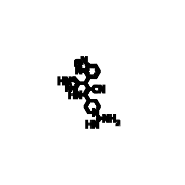 N#CC1=C(C2CCN(C(=N)N)CC2)Nc2n[nH]cc2C1c1cccc2nonc12